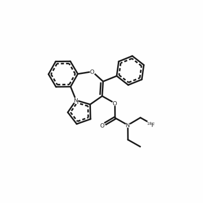 CCN(C[18F])C(=O)OC1=C(c2ccccc2)Oc2ccccc2-n2cccc21